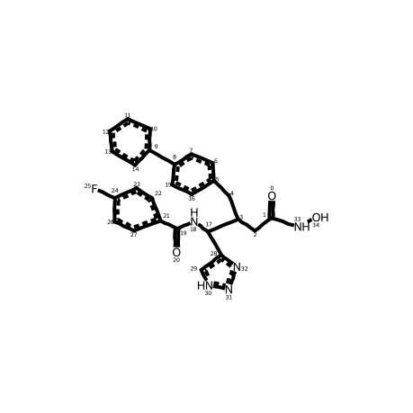 O=C(CC(Cc1ccc(-c2ccccc2)cc1)C(NC(=O)c1ccc(F)cc1)c1c[nH]nn1)NO